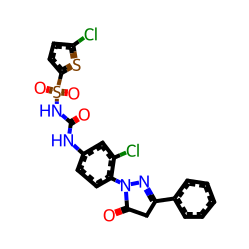 O=C(Nc1ccc(N2N=C(c3ccccc3)CC2=O)c(Cl)c1)NS(=O)(=O)c1ccc(Cl)s1